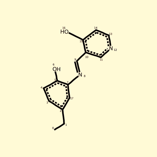 CCc1ccc(O)c(/N=C/c2cnccc2O)c1